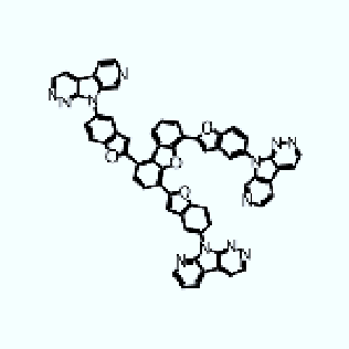 c1cc(-c2cc3cc(-n4c5cnccc5c5ccnnc54)ccc3o2)c2oc3c(-c4cc5cc(-n6c7ncccc7c7ccnnc76)ccc5o4)ccc(-c4cc5cc(-n6c7cnccc7c7ccnnc76)ccc5o4)c3c2c1